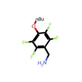 CCCCOc1c(F)c(F)c(CN)c(F)c1F